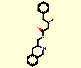 C[C@@H](CC(=O)NCC1Cc2ccccc2CN1)Cc1ccccc1